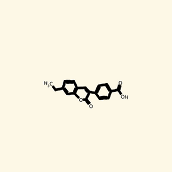 CCc1ccc2cc(-c3ccc(C(=O)O)cc3)c(=O)oc2c1